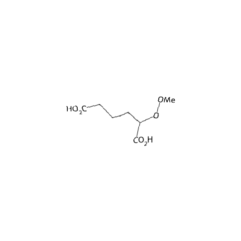 COOC(CCCC(=O)O)C(=O)O